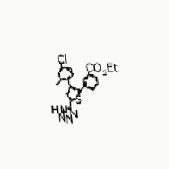 CCOC(=O)c1cccc(-c2sc(-c3nnn[nH]3)cc2-c2ccc(Cl)cc2C)c1